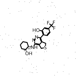 Oc1cc(C(F)(F)F)ccc1-c1nnc(N[C@@H]2CCCC[C@H]2O)c2c1CSC2